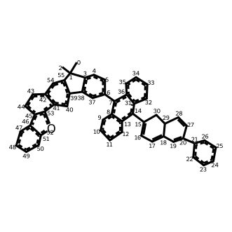 CC1(C)c2ccc(-c3c4ccccc4c(C4=CC=C5C=C(c6ccccc6)C=CC5C4)c4ccccc34)cc2-c2cc3c(ccc4c5ccccc5oc34)cc21